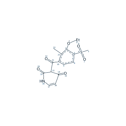 CCOc1c(S(C)(=O)=O)ccc(C(=O)C2C(=O)C=CNC2=O)c1C